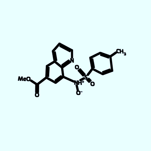 COC(=O)c1cc([NH+]([O-])S(=O)(=O)c2ccc(C)cc2)c2ncccc2c1